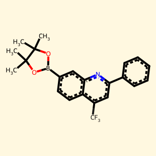 CC1(C)OB(c2ccc3c(C(F)(F)F)cc(-c4ccccc4)nc3c2)OC1(C)C